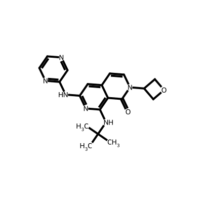 CC(C)(C)Nc1nc(Nc2cnccn2)cc2ccn(C3COC3)c(=O)c12